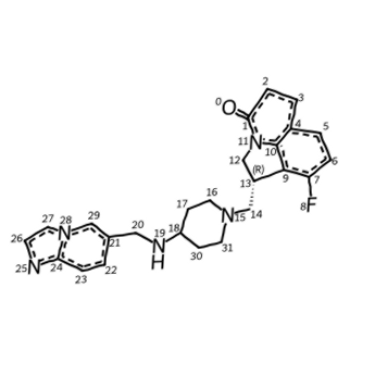 O=c1ccc2ccc(F)c3c2n1C[C@H]3CN1CCC(NCc2ccc3nccn3c2)CC1